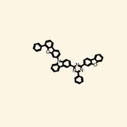 c1ccc(-c2nc(-c3ccc4c(c3)oc3ccccc34)nc(-c3ccc4c(c3)c3ccccc3n4-c3ccc4c(c3)oc3c(-c5ccccc5)cccc34)n2)cc1